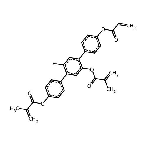 C=CC(=O)Oc1ccc(-c2cc(F)c(-c3ccc(OC(=O)C(=C)C)cc3)cc2OC(=O)C(=C)C)cc1